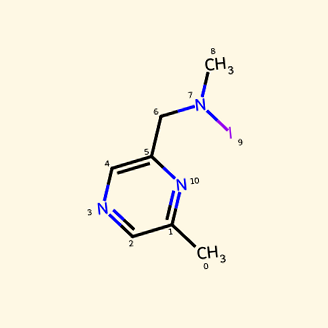 Cc1cncc(CN(C)I)n1